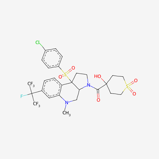 CN1CC2N(C(=O)C3(O)CCS(=O)(=O)CC3)CCC2(S(=O)(=O)c2ccc(Cl)cc2)c2ccc(C(F)(C(F)(F)F)C(F)(F)F)cc21